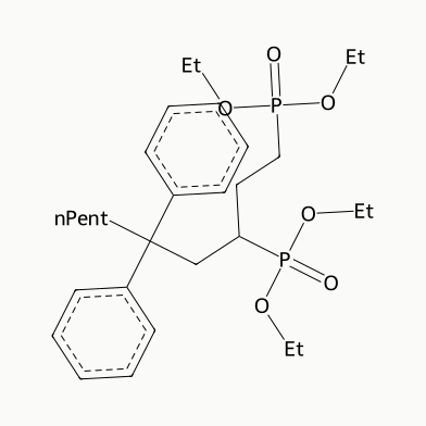 CCCCCC(CC(CCP(=O)(OCC)OCC)P(=O)(OCC)OCC)(c1ccccc1)c1ccccc1